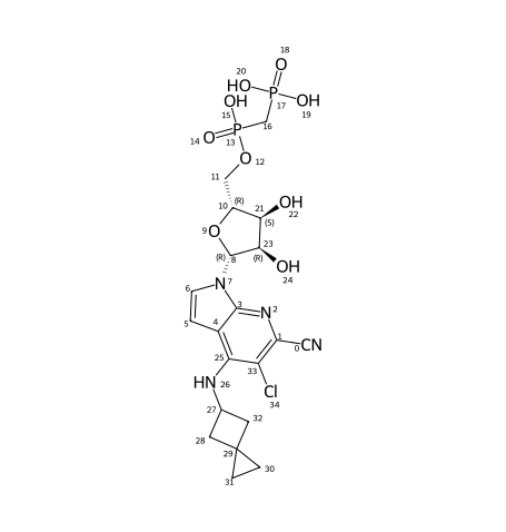 N#Cc1nc2c(ccn2[C@@H]2O[C@H](COP(=O)(O)CP(=O)(O)O)[C@@H](O)[C@H]2O)c(NC2CC3(CC3)C2)c1Cl